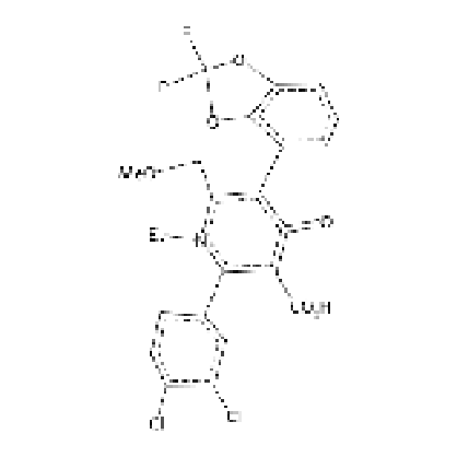 CCn1c(COC)c(-c2cccc3c2OC(F)(F)O3)c(=O)c(C(=O)O)c1-c1ccc(Cl)c(Cl)c1